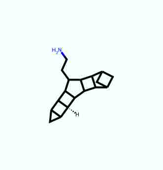 NCCC1C2C3C4CC(C4)C3C2C2C1C1C3CC3[C@@H]12